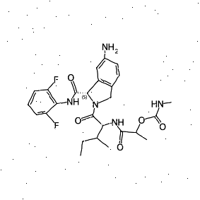 CCC(C)C(NC(=O)C(C)OC(=O)NC)C(=O)N1Cc2ccc(N)cc2[C@H]1C(=O)Nc1c(F)cccc1F